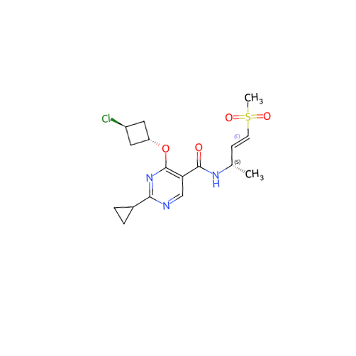 C[C@@H](/C=C/S(C)(=O)=O)NC(=O)c1cnc(C2CC2)nc1O[C@H]1C[C@H](Cl)C1